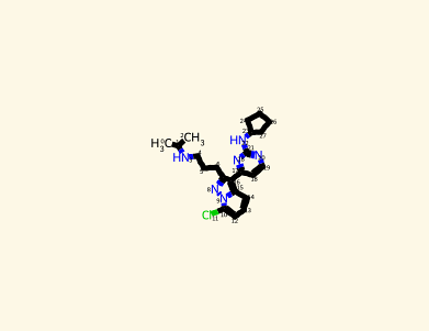 CC(C)NCCCc1nn2c(Cl)cccc2c1-c1ccnc(NC2CCCC2)n1